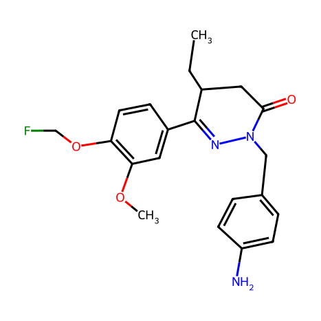 CCC1CC(=O)N(Cc2ccc(N)cc2)N=C1c1ccc(OCF)c(OC)c1